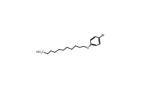 O=C(O)CCCCCCCCCCOc1ccc(Br)cc1